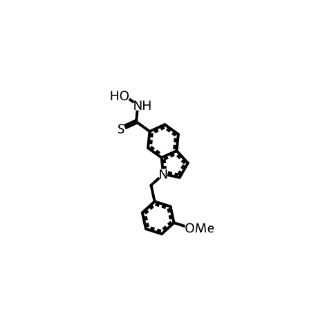 COc1cccc(Cn2ccc3ccc(C(=S)NO)cc32)c1